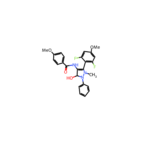 COc1ccc(C(=O)NC2=C(c3c(F)cc(OC)cc3F)N(C)N(c3ccccc3)C2O)cc1